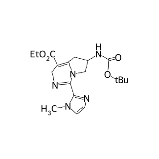 CCOC(=O)C1=C2CC(NC(=O)OC(C)(C)C)CN2C(c2nccn2C)=NC1